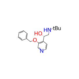 CC(C)(C)NC[C@@H](O)c1ccncc1OCc1ccccc1